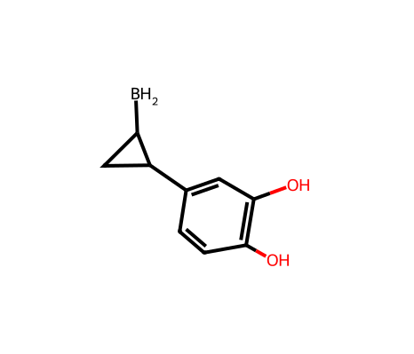 BC1CC1c1ccc(O)c(O)c1